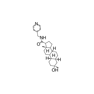 C[C@@]1(O)CC[C@H]2[C@H](CC[C@@H]3[C@@H]2CC[C@]2(C)[C@@H](C(=O)NCc4ccncc4)CC[C@@H]32)C1